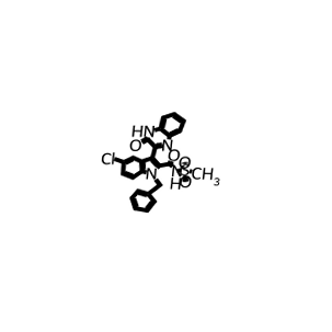 CS(=O)(=O)NC(=O)c1c(-c2nc3ccccc3[nH]c2=O)c2cc(Cl)ccc2n1Cc1ccccc1